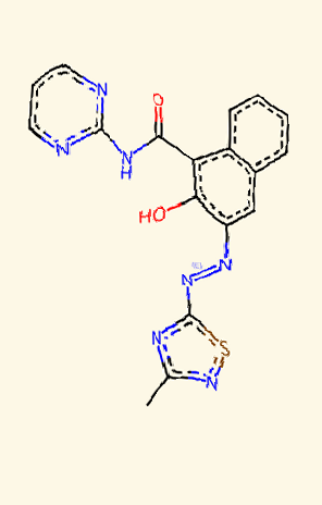 Cc1nsc(/N=N/c2cc3ccccc3c(C(=O)Nc3ncccn3)c2O)n1